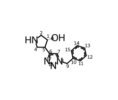 O[C@H]1CNCC1c1cn(Cc2ccccc2)nn1